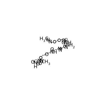 CN1CCN(Cc2ccc(-c3ccc(CO[C@H]4CCC[C@@H]4NC(=O)c4cc(-c5cnn(CCCCC(=O)NCCCOCCCc6ccc7c(c6)n(C)c(=O)n7C6CCC(=O)NC6=O)c5)cnc4N)cc3)cc2)CC1